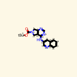 CC(C)(C)OC(=O)N1Cc2ncnc(Nc3cnc4ccccc4c3)c2C1